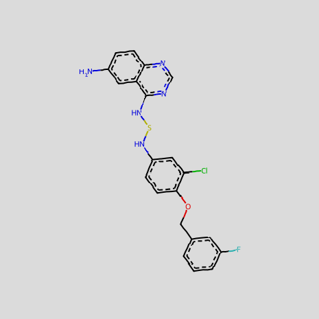 Nc1ccc2ncnc(NSNc3ccc(OCc4cccc(F)c4)c(Cl)c3)c2c1